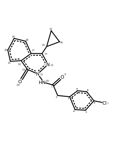 O=C(Cc1ccc(Cl)cc1)Nn1nc(C2CC2)c2ccccc2c1=O